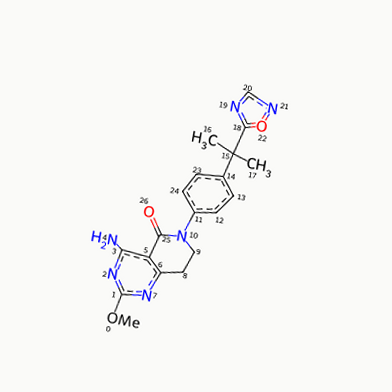 COc1nc(N)c2c(n1)CCN(c1ccc(C(C)(C)c3ncno3)cc1)C2=O